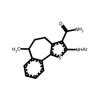 CC(=O)Nc1sc2c(c1C(N)=O)CCC(C)c1ccccc1-2